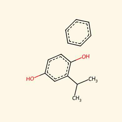 CC(C)c1cc(O)ccc1O.c1ccccc1